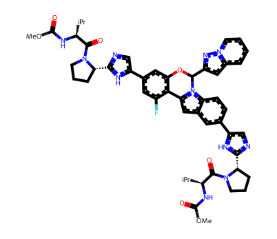 COC(=O)N[C@H](C(=O)N1CCC[C@H]1c1ncc(-c2cc(F)c3c(c2)OC(c2cc4ccccn4n2)n2c-3cc3cc(-c4cnc([C@@H]5CCCN5C(=O)[C@@H](NC(=O)OC)C(C)C)[nH]4)ccc32)[nH]1)C(C)C